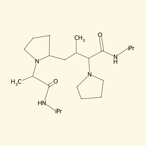 CC(C)NC(=O)C(C(C)CC1CCCN1C(C)C(=O)NC(C)C)N1CCCC1